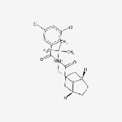 CC(C)(C)NC(=O)CN1[C@@H]2CC[C@H]1C[C@@H](CNC(=O)c1cc(Cl)cc(Cl)c1)C2